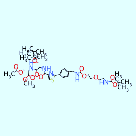 COC(=O)[C@H](COC(C)=O)NC(=O)[C@H](CO[Si](C)(C)C(C)(C)C)NC(=O)c1csc(-c2ccc(CNC(=O)OCCOCCNC(=O)OC(C)(C)C)cc2)n1